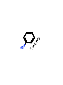 C[CH2][Al+][CH2]C.[NH-]c1ccccc1